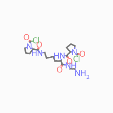 NCCNC(=O)C(CCCCNC(=O)C1CCCN1C(=O)Cl)NC(=O)C1CCCN1C(=O)Cl